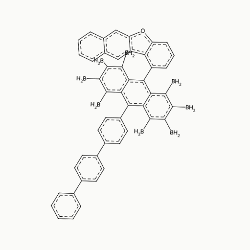 Bc1c(B)c(B)c2c(-c3cccc4oc5cc6ccccc6cc5c34)c3c(B)c(B)c(B)c(B)c3c(-c3ccc(-c4ccc(-c5ccccc5)cc4)cc3)c2c1B